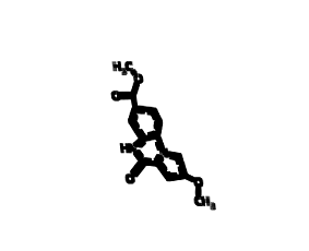 COC(=O)c1ccc2c(c1)[nH]c(=O)c1cc(OC)cn12